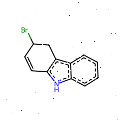 BrC1C=Cc2[nH]c3ccccc3c2C1